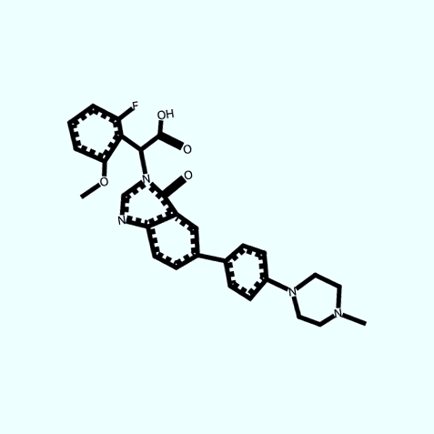 COc1cccc(F)c1C(C(=O)O)n1cnc2ccc(-c3ccc(N4CCN(C)CC4)cc3)cc2c1=O